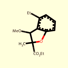 CCOC(=O)C1(C)Oc2cccc(CC)c2C1OC